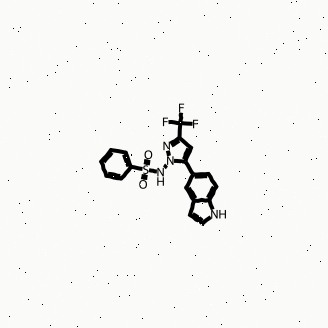 O=S(=O)(Nn1nc(C(F)(F)F)cc1-c1ccc2[nH]ccc2c1)c1ccccc1